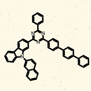 c1ccc(-c2ccc(-c3ccc(-c4nc(-c5ccccc5)nc(-c5ccc6c7ccccc7n(-c7ccc8ccccc8c7)c6c5)n4)cc3)cc2)cc1